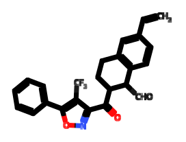 C=Cc1ccc2c(c1)CCC(C(=O)c1noc(-c3ccccc3)c1C(F)(F)F)C2C=O